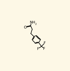 NC(=O)CCc1ccc(C(F)(F)F)cc1